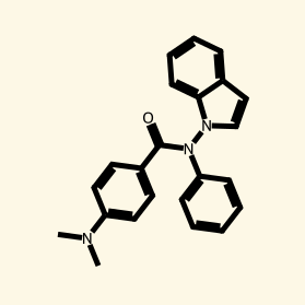 CN(C)c1ccc(C(=O)N(c2ccccc2)n2ccc3ccccc32)cc1